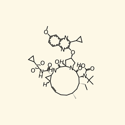 CC[C@@H]1C[C@H](C)CCC=C[C@@H]2C[C@@]2(C(=O)NS(=O)(=O)C2CC2)NC(=O)[C@@H]2C[C@@H](Oc3nc4ccc(OC)cc4nc3C3CC3)CN2C(=O)[C@H]1N(C(=O)O)C(C)(C)C